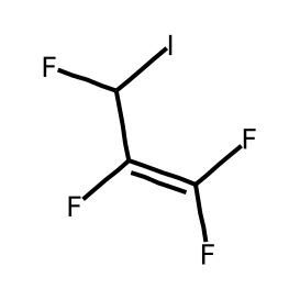 FC(F)=C(F)C(F)I